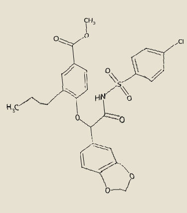 CCCc1cc(C(=O)OC)ccc1OC(C(=O)NS(=O)(=O)c1ccc(Cl)cc1)c1ccc2c(c1)OCO2